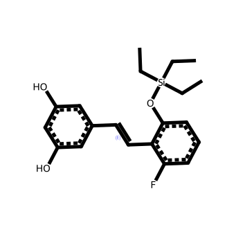 CC[Si](CC)(CC)Oc1cccc(F)c1/C=C/c1cc(O)cc(O)c1